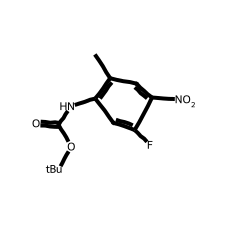 Cc1cc([N+](=O)[O-])c(F)cc1NC(=O)OC(C)(C)C